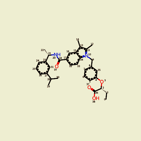 CC[C@@H](Oc1cccc(Cn2c(C)c(C)c3cc(C(=O)N[C@@H](C)c4cccc(C(C)C)c4)ccc32)c1)C(=O)O